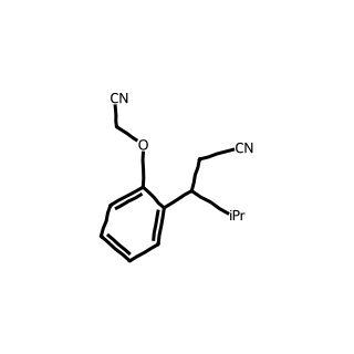 CC(C)C(CC#N)c1ccccc1OCC#N